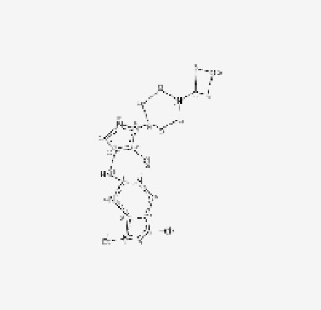 CCn1cc(Cl)c2cnc(Nc3cnn(C4CCN(C5COC5)CC4)c3Cl)nc21